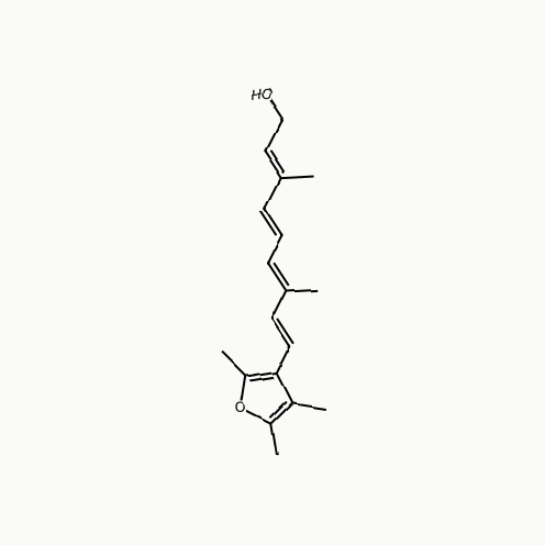 CC(/C=C/c1c(C)oc(C)c1C)=C\C=C\C(C)=C\CO